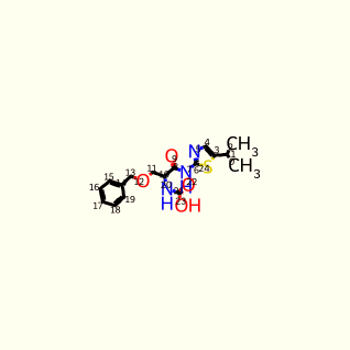 CC(C)c1cnc(NC(=O)C(COCc2ccccc2)NC(=O)O)s1